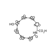 O=C1NC(C(=O)O)c2nc(co2)-c2nc(co2)-c2nc(co2)-c2nc(c(O)o2)-c2nc(co2)-c2nc(co2)-c2nc1co2